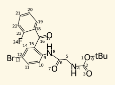 CC(C)(C)OC(=O)NCC(=O)Nc1ccc(Br)cc1C(=O)c1ccccc1F